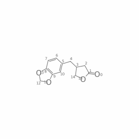 O=C1CC(Cc2ccc3c(c2)OCO3)CO1